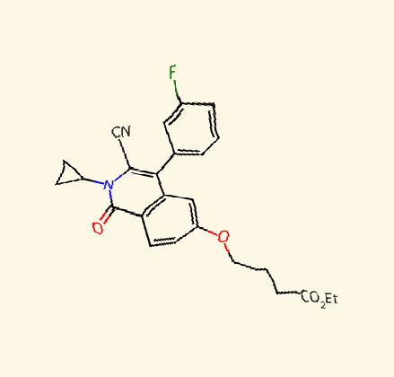 CCOC(=O)CCCOc1ccc2c(=O)n(C3CC3)c(C#N)c(-c3cccc(F)c3)c2c1